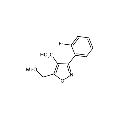 COCc1onc(-c2ccccc2F)c1C(=O)O